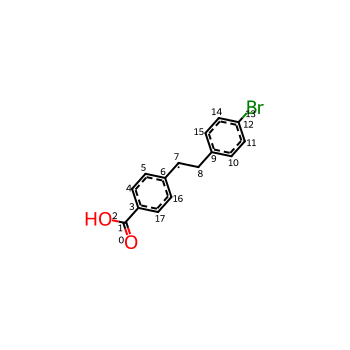 O=C(O)c1ccc([CH]Cc2ccc(Br)cc2)cc1